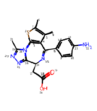 Cc1sc2c(c1C)C(c1ccc(N)cc1)=N[C@@H](CC(=O)O)c1nnc(C)n1-2